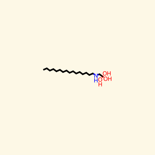 CCCCCCCCCCCCCCCCNCC(O)(O)O